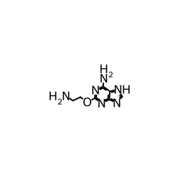 NCCOc1nc(N)c2[nH]cnc2n1